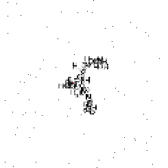 C[C@H](Cc1cccc(CC(=O)NCc2ccc(N(C)C(=O)CCN3CCC(OC(=O)Nc4ccccc4-c4ccccc4)CC3)cc2)c1)NC[C@H](O)c1ccc(O)c2[nH]c(=O)ccc12.O=C(O)C(F)(F)F.O=C(O)C(F)(F)F